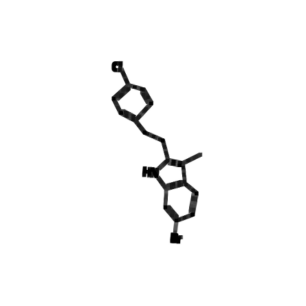 Cc1c(CCc2ccc(Cl)cc2)[nH]c2cc(Br)ccc12